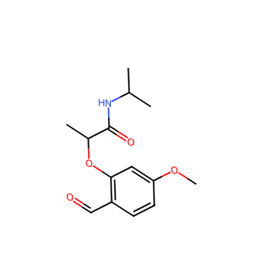 COc1ccc(C=O)c(OC(C)C(=O)NC(C)C)c1